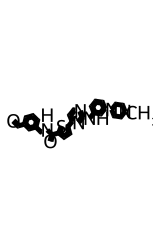 CN1CCN(c2cccc(Nc3nccc(-c4ccc(C(=O)NCc5cccc(C=O)c5)s4)n3)c2)CC1